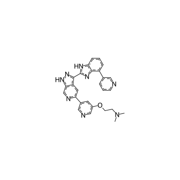 CN(C)CCOc1cncc(-c2cc3c(-c4nc5c(-c6cccnc6)cccc5[nH]4)n[nH]c3cn2)c1